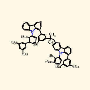 CC(C)(C)c1cc(-c2cccc(-n3c4ccccc4c4cccc(-c5cc(C(C)(C)C)cc(C(C)(C)Cc6ccc7c(c6)c6cccc(-c8cc(C(C)(C)C)cc(C(C)(C)C)c8)c6n7-c6cccc(C(C)(C)C)c6C(C)(C)C)c5)c43)c2C(C)(C)C)cc(C(C)(C)C)c1